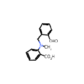 CN(Cc1ccccc1C=O)c1ccccc1C(=O)O